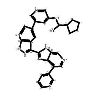 OC(Nc1cncc(-c2cnc3[nH]nc(-c4nc5c(-c6cccnc6)cncc5[nH]4)c3c2)c1)C1CCCC1